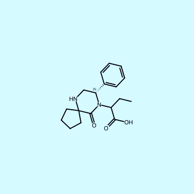 CCC(C(=O)O)N1C(=O)C2(CCCC2)NC[C@@H]1c1ccccc1